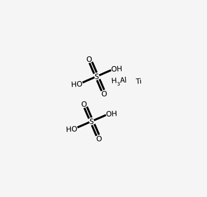 O=S(=O)(O)O.O=S(=O)(O)O.[AlH3].[Ti]